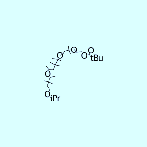 CC(C)OCCC(C)(C)C(C)OC(C)CC(C)(C)C(C)(C)OCCC(C)(C)OCCOC(=O)C(C)(C)C